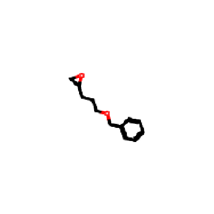 c1ccc(COCCCC2CO2)cc1